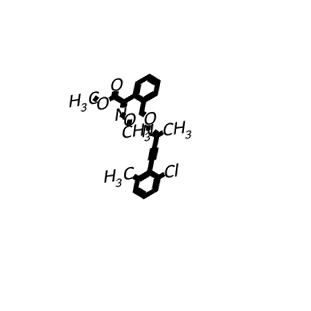 CO/N=C(/C(=O)OC)c1ccccc1CO/N=C(\C)C#Cc1c(C)cccc1Cl